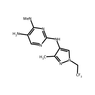 CNc1nc(Nc2cn(CC(F)(F)F)nc2C)ncc1N